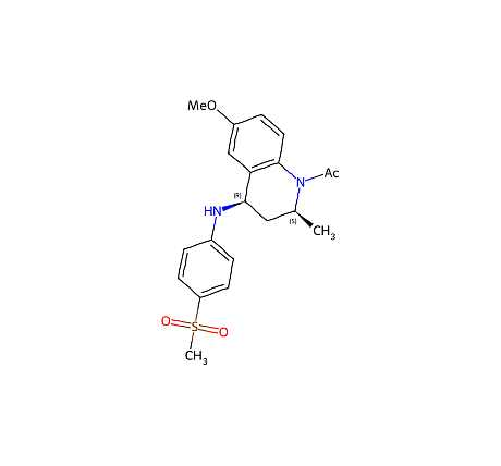 COc1ccc2c(c1)[C@H](Nc1ccc(S(C)(=O)=O)cc1)C[C@H](C)N2C(C)=O